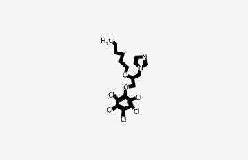 CCCCCCOC(COc1c(Cl)c(Cl)c(Cl)c(Cl)c1Cl)Cn1ccnc1